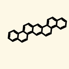 c1ccc2c(c1)ccc1c3cc4ccc5c6ccccc6ccc5c4cc3ccc21